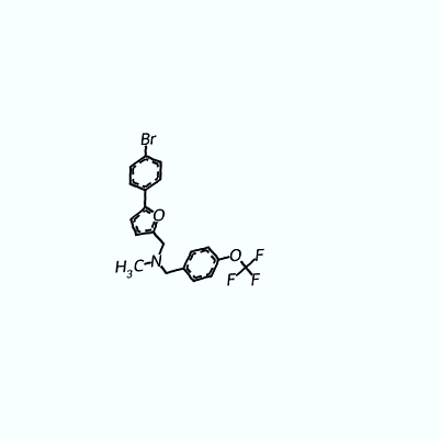 CN(Cc1ccc(OC(F)(F)F)cc1)Cc1ccc(-c2ccc(Br)cc2)o1